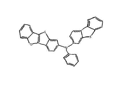 c1ccc(N(c2ccc3c(c2)sc2ccccc23)c2ccc3c(c2)sc2c4ccccc4oc32)cc1